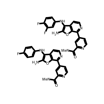 CNC(=O)c1cc(-c2nccc3c(Nc4ccc(F)c(F)c4)c(N)oc23)ccn1.CNC(=O)c1cc(-c2nccc3c(Nc4ccc(F)cc4)c(N)oc23)ccn1